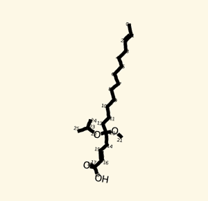 CC=CCCCCCCCCCCC(CC=CC(=O)O)(OC)OC(C)C